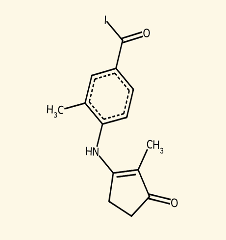 CC1=C(Nc2ccc(C(=O)I)cc2C)CCC1=O